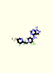 Cl.Fc1cc(C(F)(F)F)cnc1C(F)(F)CN1CCC(Nc2ncnc3[nH]ncc23)CC1